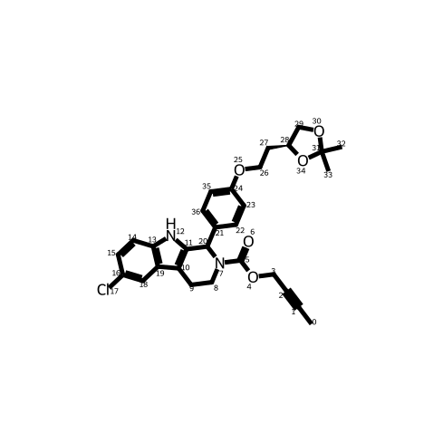 CC#CCOC(=O)N1CCc2c([nH]c3ccc(Cl)cc23)C1c1ccc(OCC[C@H]2COC(C)(C)O2)cc1